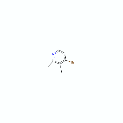 Cc1nccc(Br)c1C